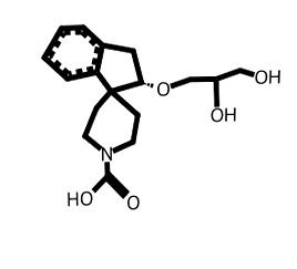 O=C(O)N1CCC2(CC1)c1ccccc1C[C@@H]2OCC(O)CO